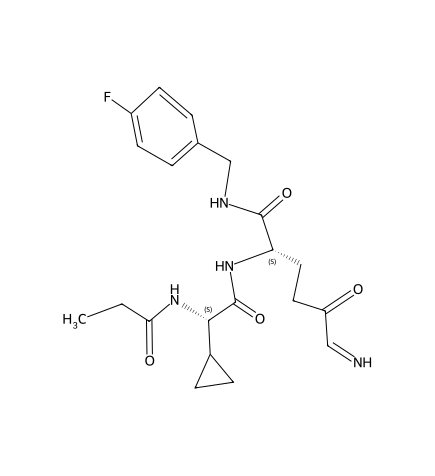 CCC(=O)N[C@H](C(=O)N[C@@H](CCC(=O)C=N)C(=O)NCc1ccc(F)cc1)C1CC1